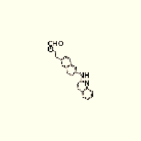 O=COCCc1ccc2cc(Nc3ccc4ccccc4n3)ccc2c1